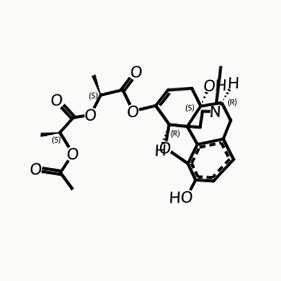 CC(=O)O[C@@H](C)C(=O)O[C@@H](C)C(=O)OC1=CC[C@@]2(O)[C@H]3Cc4ccc(O)c5c4C2(CCN3C)[C@H]1O5